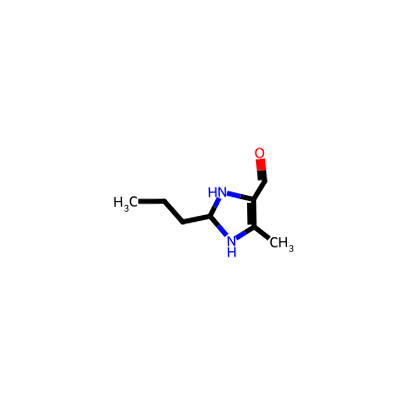 CCCC1NC(C)=C(C=O)N1